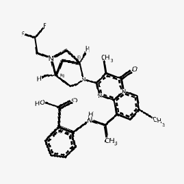 Cc1cc(C(C)Nc2ccccc2C(=O)O)c2nc(N3C[C@H]4C[C@@H]3CN4CC(F)F)c(C)c(=O)n2c1